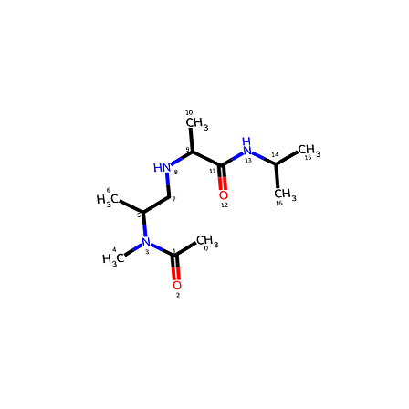 CC(=O)N(C)C(C)CNC(C)C(=O)NC(C)C